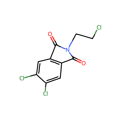 O=C1c2cc(Cl)c(Cl)cc2C(=O)N1CCCl